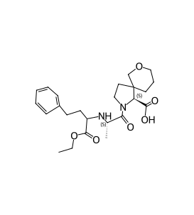 CCOC(=O)C(CCc1ccccc1)N[C@@H](C)C(=O)N1CCC2(CCCOC2)[C@H]1C(=O)O